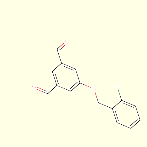 O=Cc1cc(C=O)cc(OCc2ccccc2Cl)c1